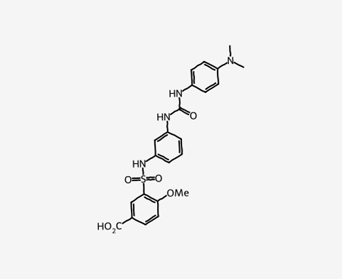 COc1ccc(C(=O)O)cc1S(=O)(=O)Nc1cccc(NC(=O)Nc2ccc(N(C)C)cc2)c1